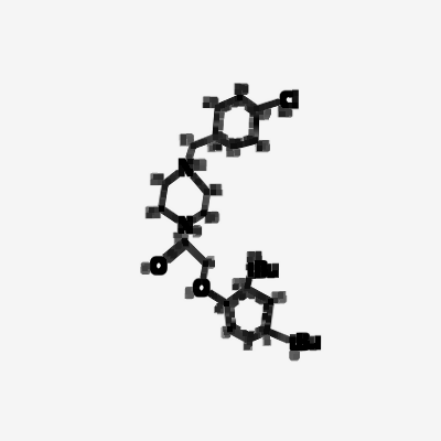 CC(C)(C)c1ccc(OCC(=O)N2CCN(Cc3ccc(Cl)cc3)CC2)c(C(C)(C)C)c1